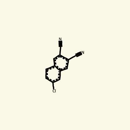 N#Cc1cc2ccc(Cl)cc2cc1C#N